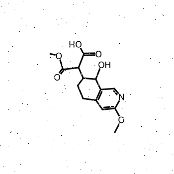 COC(=O)C(C(=O)O)C1CCc2cc(OC)ncc2C1O